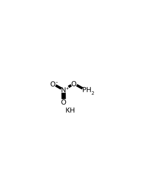 O=[N+]([O-])OP.[KH]